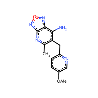 COc1ccc(Cc2c(C)nc3nonc3c2N)nc1